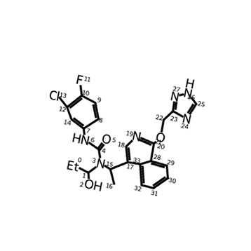 CCC(O)N(C(=O)Nc1ccc(F)c(Cl)c1)C(C)c1cnc(OCc2nc[nH]n2)c2ccccc12